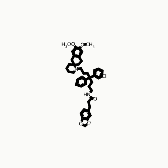 COc1cc2c(cc1OC)CC1(CCCCN1CCCC(CCCNC(=O)CCc1ccc3c(c1)OCO3)(c1ccccc1)c1ccccc1)CC2.Cl